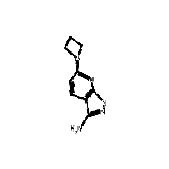 NC1=N[N]c2nc(N3CCC3)ccc21